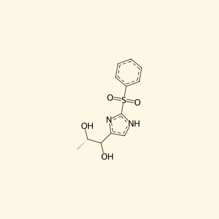 C[C@H](O)C(O)c1c[nH]c(S(=O)(=O)c2ccccc2)n1